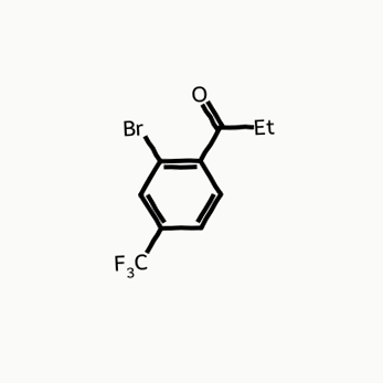 CCC(=O)c1ccc(C(F)(F)F)cc1Br